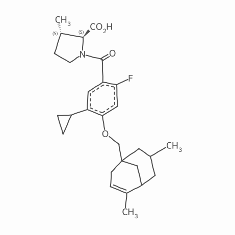 CC1=CCC2(COc3cc(F)c(C(=O)N4CC[C@H](C)[C@H]4C(=O)O)cc3C3CC3)CC(C)CC1C2